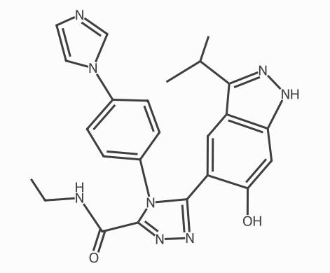 CCNC(=O)c1nnc(-c2cc3c(C(C)C)n[nH]c3cc2O)n1-c1ccc(-n2ccnc2)cc1